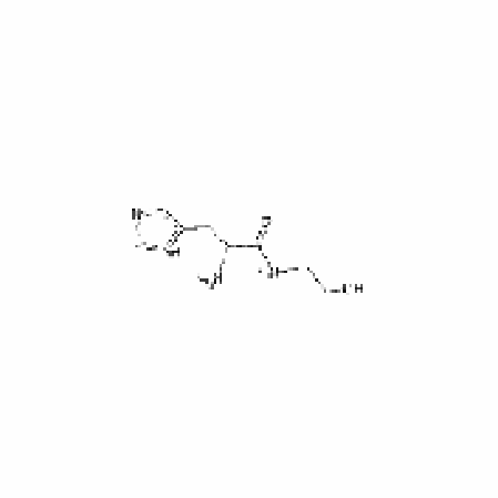 NC(Cc1cnc[nH]1)C(=O)NCCO